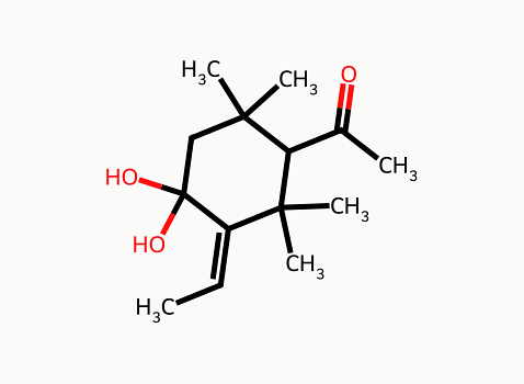 CC=C1C(O)(O)CC(C)(C)C(C(C)=O)C1(C)C